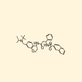 CC(C)N(Cc1ccc2c(c1)OCCC2NC(=O)CC(NS(=O)(=O)c1ccc2ccccc2c1)c1ccccc1)C(C)(C)C